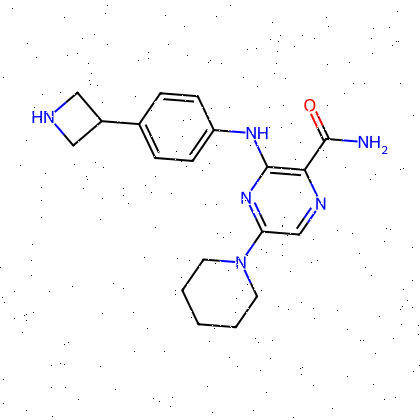 NC(=O)c1ncc(N2CCCCC2)nc1Nc1ccc(C2CNC2)cc1